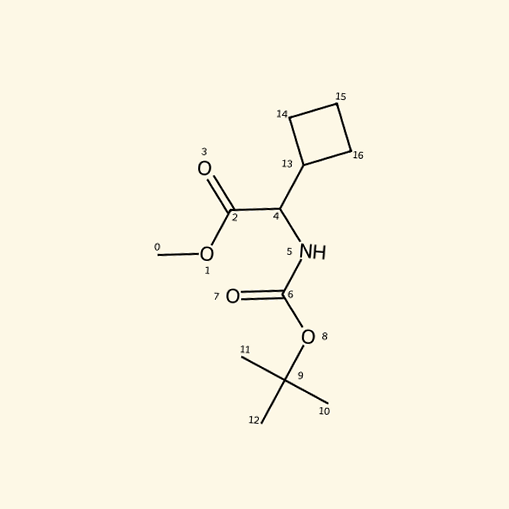 COC(=O)C(NC(=O)OC(C)(C)C)C1CCC1